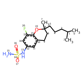 CC(C)CCCC1(C)CCc2cc(NS(N)(=O)=O)cc(F)c2O1